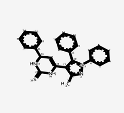 Cc1nn(-c2ccccc2)c(-c2ccccc2)c1C1=CC(c2ccccc2)NC(=S)N1